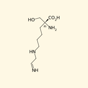 N=CCNCCCC[C@@](N)(CO)C(=O)O